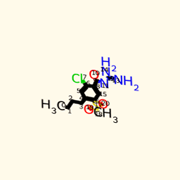 CCCCc1cc(Cl)c(C(=O)N=C(N)N)cc1S(C)(=O)=O